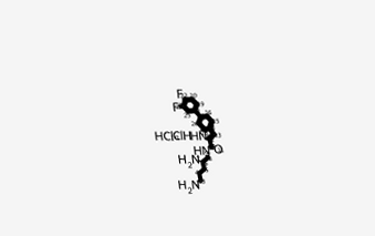 Cl.Cl.NCCC[C@H](N)CNC(=O)c1cc2ccc(-c3ccc(F)c(F)c3)cc2[nH]1